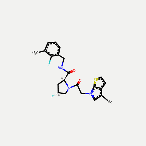 CC(=O)c1cn(CC(=O)N2C[C@H](F)C[C@H]2C(=O)NCc2cccc(C)c2F)c2sccc12